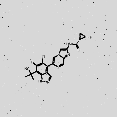 CC(C)(C#N)c1c(F)c(Cl)c(-c2cn3cc(NC(=O)[C@@H]4C[C@@H]4F)nc3cn2)c2cn[nH]c12